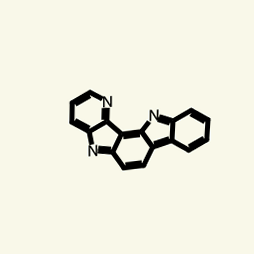 c1cnc2c(c1)N=c1ccc3c(c1-2)N=c1ccccc1=3